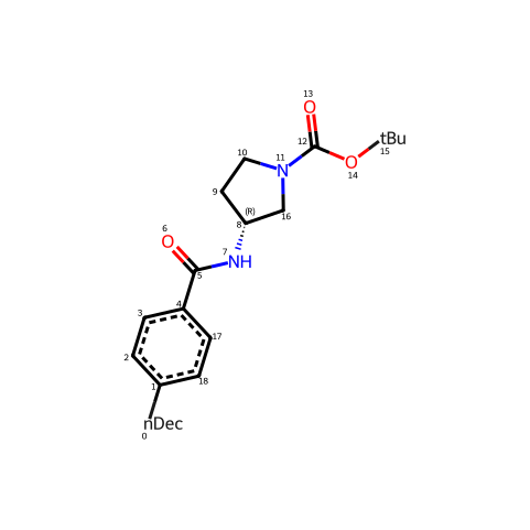 CCCCCCCCCCc1ccc(C(=O)N[C@@H]2CCN(C(=O)OC(C)(C)C)C2)cc1